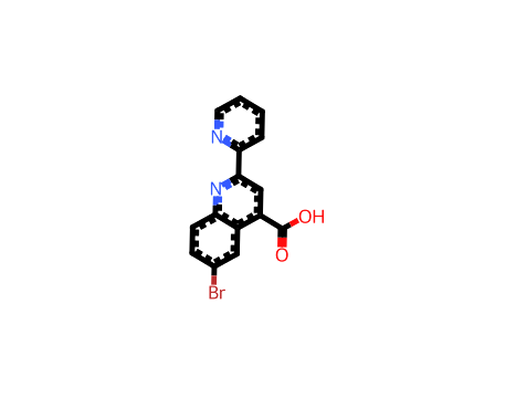 O=C(O)c1cc(-c2ccccn2)nc2ccc(Br)cc12